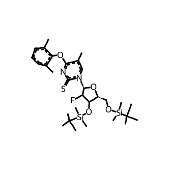 Cc1cn([C@H]2O[C@@H](CO[Si](C)(C)C(C)(C)C)C(O[Si](C)(C)C(C)(C)C)C2F)c(=S)nc1Oc1c(C)cccc1C